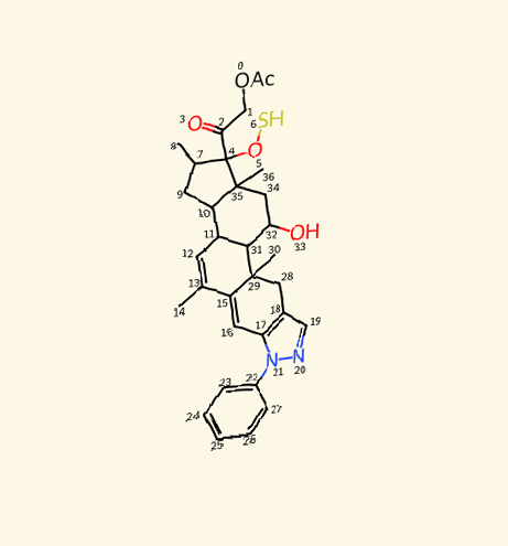 CC(=O)OCC(=O)C1(OS)C(C)CC2C3C=C(C)C4=Cc5c(cnn5-c5ccccc5)CC4(C)C3C(O)CC21C